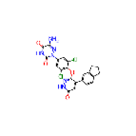 Nc1nn(-c2cc(Cl)c(Oc3n[nH]c(=O)cc3-c3ccc4c(c3)CCC4)c(Cl)c2)c(=O)[nH]c1=O